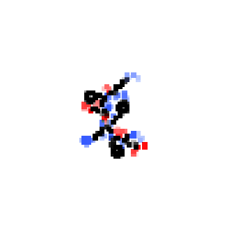 NCCCC[C@H](NC(=O)[C@H](Cc1ccccc1)NC(=O)[C@H](CCC(=O)O)NC(=O)[C@H](Cc1ccccc1)NC(=O)[C@@H](N)CCCCN)C(=O)N[C@@H](Cc1ccccc1)C(=O)N[C@@H](CCC(=O)O)C(N)=O